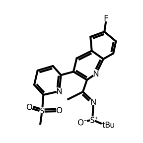 C/C(=N\[S+]([O-])C(C)(C)C)c1nc2ccc(F)cc2cc1-c1cccc(S(C)(=O)=O)n1